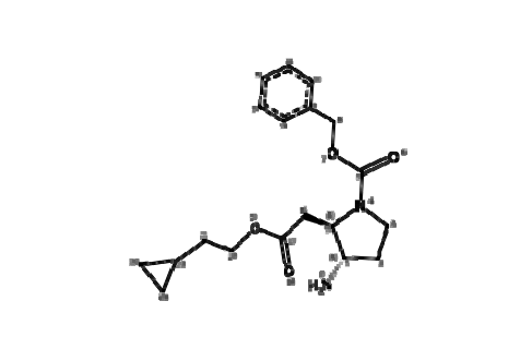 N[C@H]1CCN(C(=O)OCc2ccccc2)[C@@H]1CC(=O)OCCC1CC1